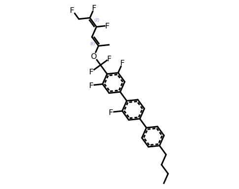 CCCCc1ccc(-c2ccc(-c3cc(F)c(C(F)(F)O/C(C)=C/C(F)=C(/F)CF)c(F)c3)c(F)c2)cc1